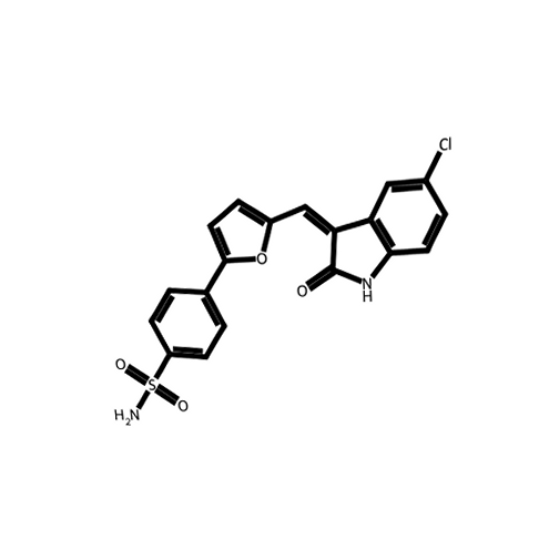 NS(=O)(=O)c1ccc(-c2ccc(/C=C3\C(=O)Nc4ccc(Cl)cc43)o2)cc1